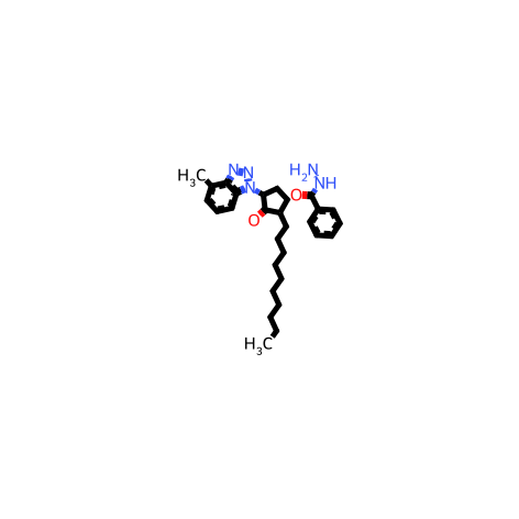 CCCCCCCCCCC1CCC(n2nnc3c(C)cccc32)C1=O.NNC(=O)c1ccccc1